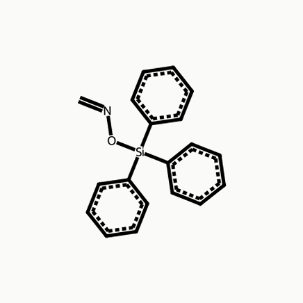 C=NO[Si](c1ccccc1)(c1ccccc1)c1ccccc1